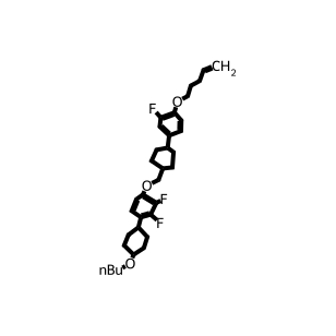 C=CCCCOc1ccc(C2CCC(COc3ccc(C4CCC(OCCCC)CC4)c(F)c3F)CC2)cc1F